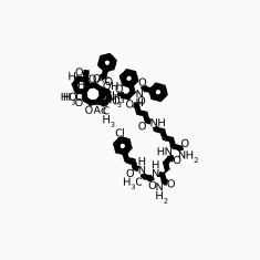 CC(=O)O[C@H]1C(=O)[C@@]2(C)[C@H]([C@H](OC(=O)c3ccccc3)[C@]3(O)C[C@H](OC(=O)[C@H](OC(=O)CCC(=O)NCCCCC(NC(=O)CC[C@H](NC(=O)C(C)NC(=O)/C=C/c4ccc(Cl)cc4)C(N)=O)C(N)=O)[C@@H](NC(=O)c4ccccc4)c4ccccc4)C(C)=C1C3(C)C)[C@]1(OC(C)=O)CO[C@@H]1C[C@@H]2O